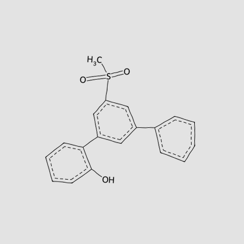 CS(=O)(=O)c1cc(-c2ccccc2)cc(-c2ccccc2O)c1